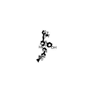 O=S(=O)(C1CC1)n1cc(-c2nccc(Nc3cc(NC4CCC(O)CC4)c(C#CC4CCO[C@H]4C(F)(F)F)cn3)n2)cn1